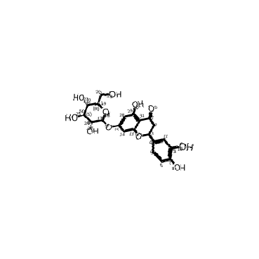 O=C1CC(c2ccc(O)c(O)c2)Oc2cc(OC3O[C@H](CO)[C@@H](O)[C@H](O)[C@H]3O)cc(O)c21